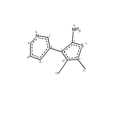 Cc1sc(N)c(-c2[c]nccc2)c1C